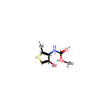 CC(=O)c1scc(Br)c1NC(=O)OC(C)(C)C